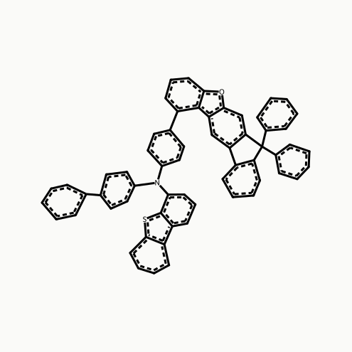 c1ccc(-c2ccc(N(c3ccc(-c4cccc5oc6cc7c(cc6c45)-c4ccccc4C7(c4ccccc4)c4ccccc4)cc3)c3cccc4c3sc3ccccc34)cc2)cc1